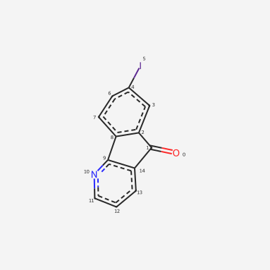 O=C1c2cc(I)ccc2-c2ncccc21